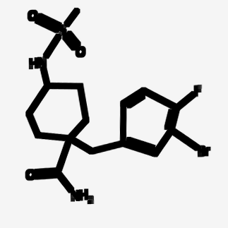 CS(=O)(=O)NC1CCC(Cc2ccc(F)c(Br)c2)(C(N)=O)CC1